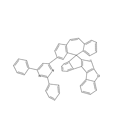 C1=Cc2ccc(-c3cc(-c4ccccc4)nc(-c4ccccc4)n3)cc2C2(c3ccccc31)c1ccccc1-c1c2ccc2oc3ccccc3c12